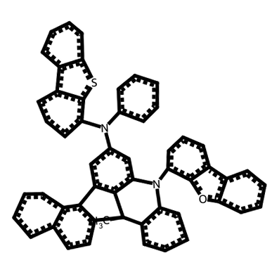 CC12c3ccccc3N(c3cccc4c3oc3ccccc34)c3cc(N(c4ccccc4)c4cccc5c4sc4ccccc45)cc(c31)-c1c2ccc2ccccc12